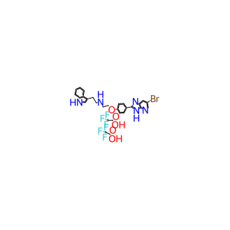 Brc1cnc2[nH]c(-c3ccc(OCCNCCc4c[nH]c5ccccc45)cc3)nc2c1.O=C(O)C(F)(F)F.O=C(O)C(F)(F)F